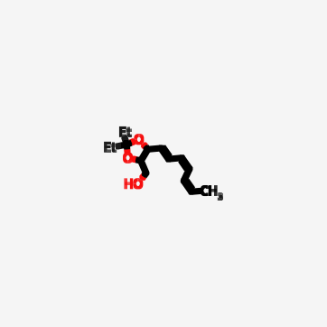 C\C=C/C=C\C=C\C1OC(CC)(CC)OC1CO